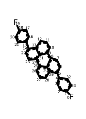 Fc1ccc(-c2ccc3c4cccc5c(-c6ccc(F)cc6)ccc(c6cccc2c63)c54)cc1